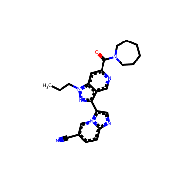 CCCn1nc(-c2cnc3ccc(C#N)cn23)c2cnc(C(=O)N3CCCCCC3)cc21